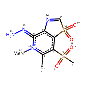 CCc1c(S(C)(=O)=O)c2c(/c(=N/N)n1NC)N=CS2(=O)=O